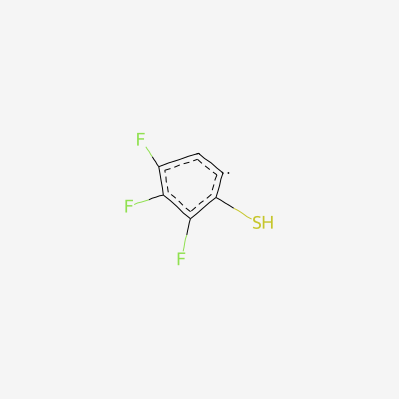 Fc1c[c]c(S)c(F)c1F